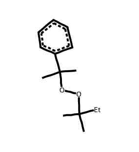 CCC(C)(C)OOC(C)(C)c1ccccc1